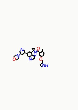 Cc1ccc(OCC2CCN2)cc1C(=O)NC1(c2cc(-c3cncc(N4CCOCC4)c3)cc3ncccc23)CC1